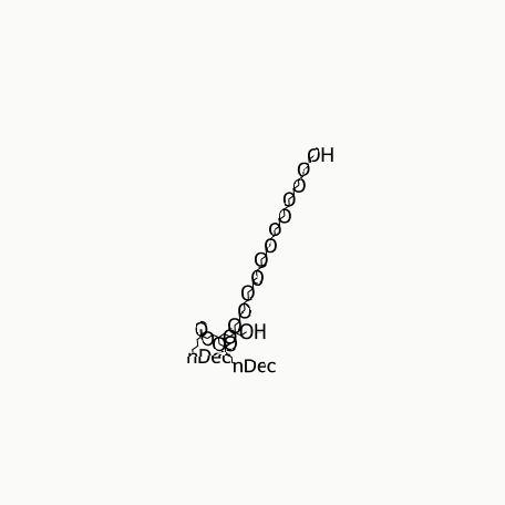 CCCCCCCCCCCCCC(=O)OCC(COC(CO)OCCOCCOCCOCCOCCOCCOCCOCCOCCOCCOCCO)OC(=O)CCCCCCCCCCCCC